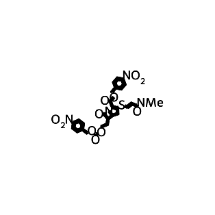 CNC(=O)C=CSC1=C(C(=O)OCc2ccc([N+](=O)[O-])cc2)N2C(=O)C(CCOC(=O)OCc3ccc([N+](=O)[O-])cc3)C2C1